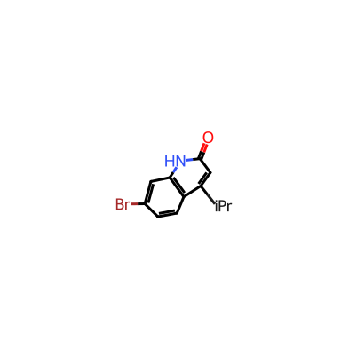 CC(C)c1cc(=O)[nH]c2cc(Br)ccc12